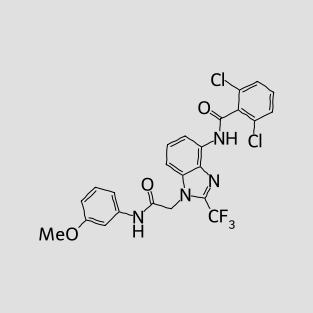 COc1cccc(NC(=O)Cn2c(C(F)(F)F)nc3c(NC(=O)c4c(Cl)cccc4Cl)cccc32)c1